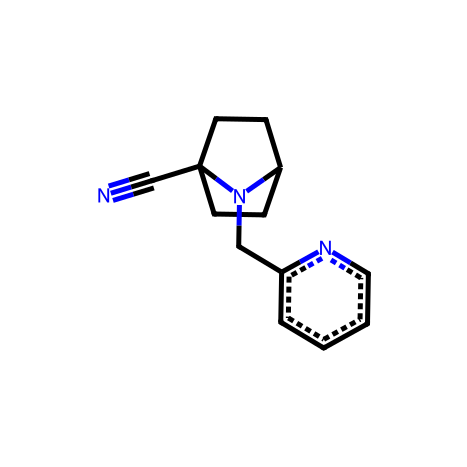 N#CC12CCC(CC1)N2Cc1ccccn1